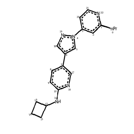 CCCc1cc(-n2cc(-c3ccc(NC4CCC4)nc3)cn2)ccn1